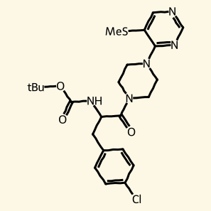 CSc1cncnc1N1CCN(C(=O)C(Cc2ccc(Cl)cc2)NC(=O)OC(C)(C)C)CC1